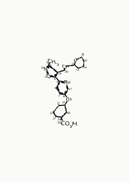 Cc1noc(-c2ccc(OC3CCCC(C(=O)O)C3)cn2)c1COC1CCCCO1